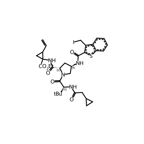 C=CC1CC1(NC(=O)[C@@H]1C[C@@H](NC(=O)c2sc3ccccc3c2CI)CN1C(=O)[C@@H](NC(=O)CC1CC1)C(C)(C)C)C(=O)OCC